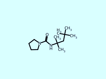 CC(C)(C)CC(C)(C)NC(=O)N1CCCC1